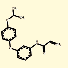 C=CC(=O)Nc1cncc(Oc2ccc(OC(C)C)cc2)c1